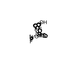 CN1C[C@H](F)C[C@H]1COc1nc2c(c(N3CC4CCC(C3)N4)n1)CCN(c1cc(O)cc3cccc(Br)c13)C2